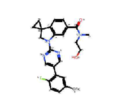 CC(=O)Oc1ccc(F)c(-c2cnc(N3CC4(CC4)c4ccc(C(=O)N(C)CCO)cc43)nc2)c1